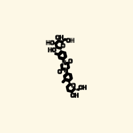 Cc1cc(N2CC(=O)N(c3ccc([C@H]4O[C@H](CO)[C@@H](O)[C@H](O)[C@@H]4O)c(C)c3)CC2=O)ccc1[C@@H]1CC[C@H](O)[C@@H](CO)O1